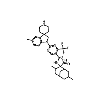 Cc1ccc2c(c1)C1(CCNCC1)CN2c1ncc(C(=O)NC2(C(=O)O)C(C)CC3CC(C)CC2C3)c(C(F)(F)F)n1